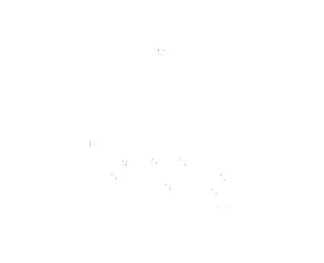 COCCOc1cccc(C(C)n2ncc3cnc(Nc4cnn(C)c4)nc32)c1